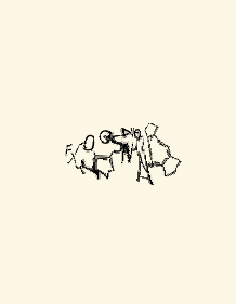 C[C@@]1(F)COc2c(S(N)(=O)=NC(=O)Nc3c4c(cc5c3CCC5)CCC4)cnn2C1